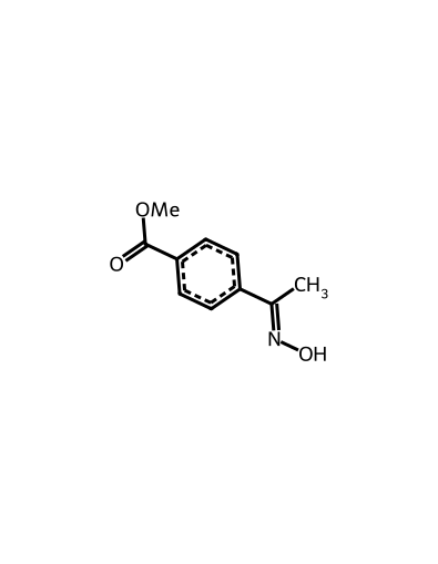 COC(=O)c1ccc(/C(C)=N/O)cc1